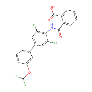 O=C(O)c1ccccc1C(=O)Nc1c(F)cc(-c2cccc(OC(F)F)c2)cc1Cl